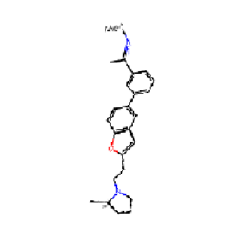 CO/N=C(\C)c1cccc(-c2ccc3oc(CCN4CCC[C@H]4C)cc3c2)c1